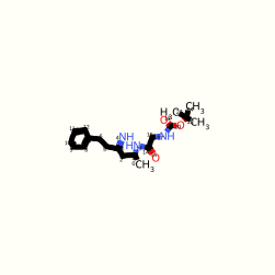 CC(CC(=N)CCc1ccccc1)NC(=O)CNC(=O)OC(C)(C)C